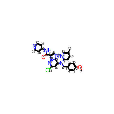 COc1ccc(CN(c2ccc(C)cn2)c2cc(Cl)nn3c(C(=O)Nc4ccncc4)cnc23)cc1